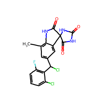 Cc1cc(C(Cl)c2c(F)cccc2Cl)cc2c1NC(=O)C21NC(=O)NC1=O